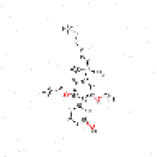 CCCCCCC(C)(C)c1cc(OC)c(C2CCCC(=O)C2)c(OCC)c1